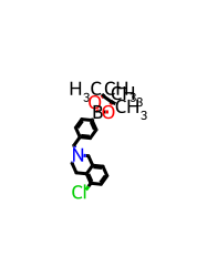 CC1(C)OB(c2ccc(CN3CCc4c(Cl)cccc4C3)cc2)OC1(C)C